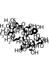 CSCC[C@H](NC(=O)[C@H](CC(C)C)NC(=O)[C@@H](N)[C@@H](C)O)C(=O)N[C@@H](CC(=O)O)C(=O)N[C@@H](Cc1ccc(O)cc1)C(=O)N[C@@H](CCCCN)C(=O)N[C@@H](CC(=O)O)C(=O)N[C@@H](CC(=O)O)C(=O)N[C@@H](CCC(=O)O)C(=O)NCC(=O)O